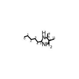 CCCCCC(N)NC(C)C(C)C